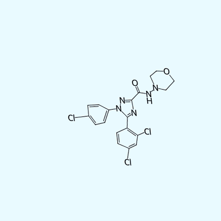 O=C(NN1CCOCC1)c1nc(-c2ccc(Cl)cc2Cl)n(-c2ccc(Cl)cc2)n1